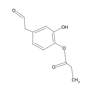 CCC(=O)Oc1ccc(CC=O)cc1O